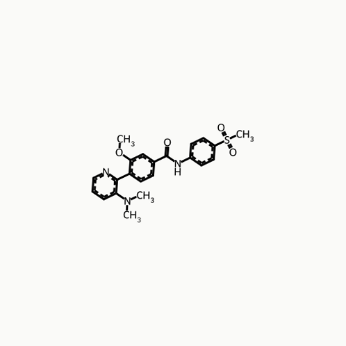 COc1cc(C(=O)Nc2ccc(S(C)(=O)=O)cc2)ccc1-c1ncccc1N(C)C